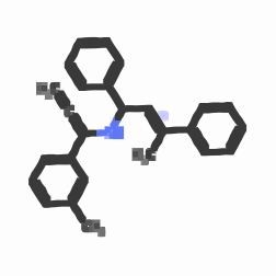 C=C=C(NC(/C=C(\C)c1ccccc1)c1ccccc1)c1cccc(C)c1